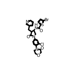 O=C(NC1CN(c2ccc(N3CCOCC3=O)c(Cl)c2)C(=O)C1Cc1cccnc1)c1ccc(Br)s1